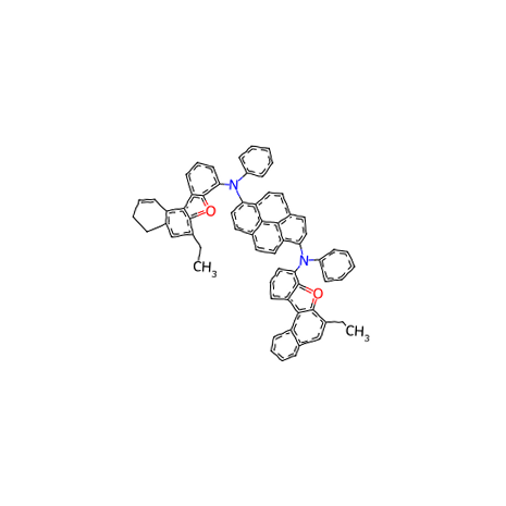 CCc1cc2c(c3c1oc1c(N(c4ccccc4)c4ccc5ccc6c(N(c7ccccc7)c7cccc8c7oc7c(CC)cc9ccccc9c78)ccc7ccc4c5c76)cccc13)C=CCC2